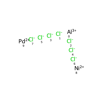 [Al+3].[Cl-].[Cl-].[Cl-].[Cl-].[Cl-].[Cl-].[Cl-].[Ni+2].[Pd+2]